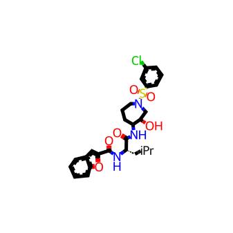 CC(C)C[C@H](NC(=O)c1cc2ccccc2o1)C(=O)NC1CCCN(S(=O)(=O)c2cccc(Cl)c2)CC1O